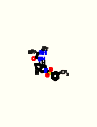 CCC[C@H](NC(C)C)C(=O)N[C@H]1CC[C@@H]2CN(S(=O)(=O)c3cccc(C(F)(F)F)c3)C[C@@H]21